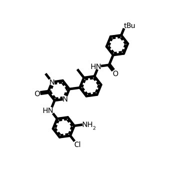 Cc1c(NC(=O)c2ccc(C(C)(C)C)cc2)cccc1-c1cn(C)c(=O)c(Nc2ccc(Cl)c(N)c2)n1